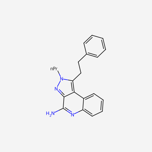 CCCn1nc2c(N)nc3ccccc3c2c1CCc1ccccc1